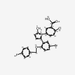 Cc1ccc(-c2cc(Br)ccc2OCc2ccc(F)cc2)n1-c1ccc(Cl)c(C(=O)O)c1